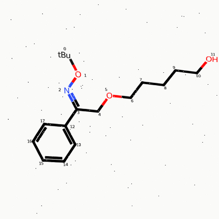 CC(C)(C)ON=C(COCCCCCO)c1ccccc1